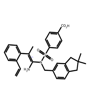 C=Cc1ccccc1/C(C)=C(\N)N(Cc1ccc2c(c1)CC(C)(C)C2)S(=O)(=O)c1ccc(C(=O)O)cc1